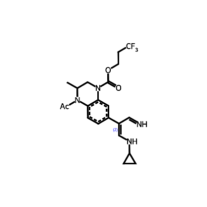 CC(=O)N1c2ccc(/C(C=N)=C/NC3CC3)cc2N(C(=O)OCCC(F)(F)F)CC1C